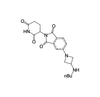 CCCCNC1CN(c2ccc3c(c2)C(=O)N(C2CCC(=O)NC2=O)C3=O)C1